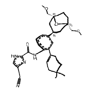 COC[C@@]12CC[C@@](COC)(C[C@@H](c3ccc(NC(=O)c4nc(C#N)c[nH]4)c(C4=CCC(C)(C)CC4)c3)C1)O2